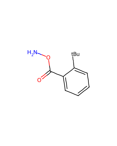 CC(C)(C)c1ccccc1C(=O)ON